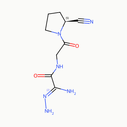 N#C[C@@H]1CCCN1C(=O)CNC(=O)/C(N)=N/N